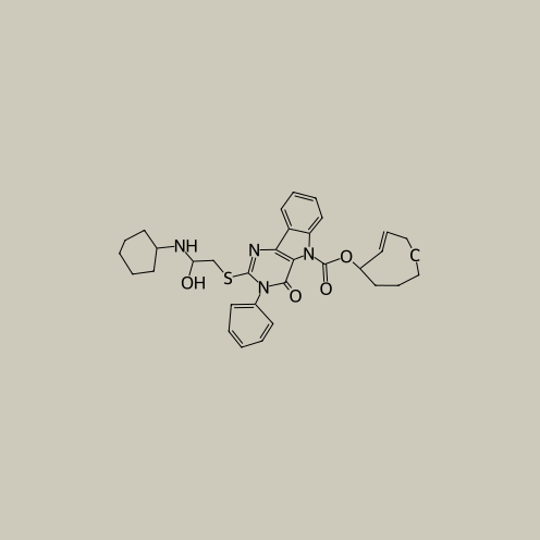 O=C(OC1/C=C/CCCCC1)n1c2ccccc2c2nc(SCC(O)NC3CCCCC3)n(-c3ccccc3)c(=O)c21